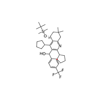 CC1(C)Cc2nc(C3CCCC3)c(C(O)c3ccc(C(F)(F)F)cc3)c(C3CCCC3)c2[C@H](O[Si](C)(C)C(C)(C)C)C1